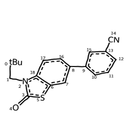 CC(C)(C)Cn1c(=O)sc2cc(-c3cccc(C#N)c3)ccc21